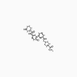 CC(=O)N1CCC(CNc2cncc(-c3cc(NC(=O)[C@@H]4CCCNC4)ncc3Cl)n2)CC1